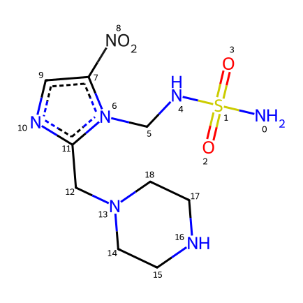 NS(=O)(=O)NCn1c([N+](=O)[O-])cnc1CN1CCNCC1